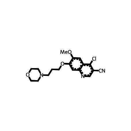 COc1cc2c(Cl)c(C#N)cnc2cc1OCCCN1CCOCC1